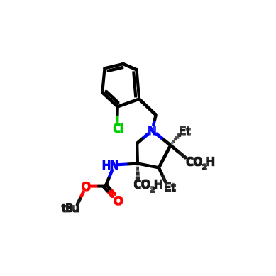 CCC1[C@](CC)(C(=O)O)N(Cc2ccccc2Cl)C[C@@]1(NC(=O)OC(C)(C)C)C(=O)O